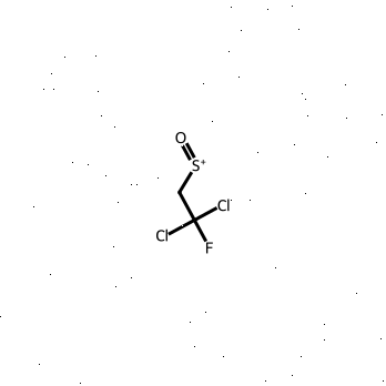 O=[S+]CC(F)(Cl)Cl